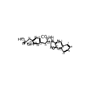 CC(=O)N(Nc1ncc2ccccc2nc1=O)[C@@H](Cc1ccc(CP(=O)(O)O)cc1)C(=O)O